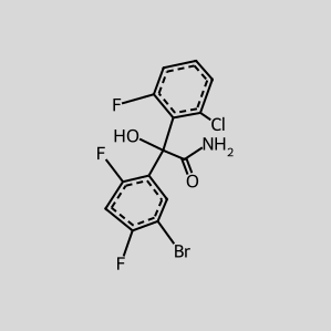 NC(=O)C(O)(c1cc(Br)c(F)cc1F)c1c(F)cccc1Cl